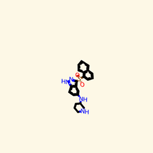 O=S(=O)(c1cccc2ccccc12)c1n[nH]c2ccc(NC3CCCNC3)cc12